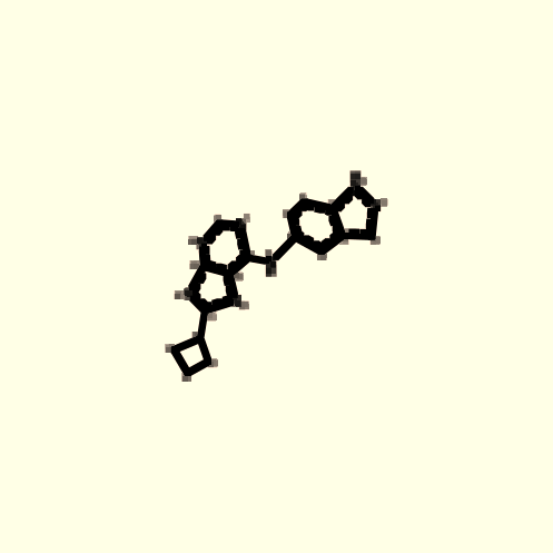 c1nc(Nc2ccc3[nH]ncc3c2)c2nc(C3CCC3)sc2n1